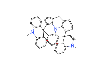 CN1c2ccccc2C2(c3ccccc31)c1cccc3c1N1c4c(cccc4C4(c5ccccc5N(C)c5ccccc54)c4cccc2c41)C3